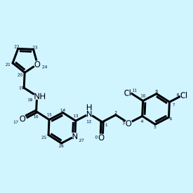 O=C(COc1ccc(Cl)cc1Cl)Nc1cc(C(=O)NCc2ccco2)ccn1